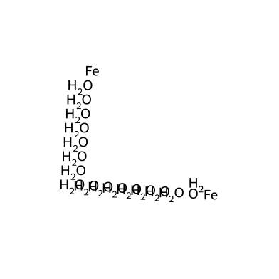 O.O.O.O.O.O.O.O.O.O.O.O.O.O.O.O.[Fe].[Fe]